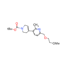 COCCOCc1ccc(C2=CCN(C(=O)OC(C)(C)C)CC2)c(C)n1